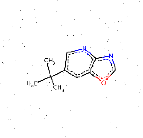 CC(C)(C)c1cnc2ncoc2c1